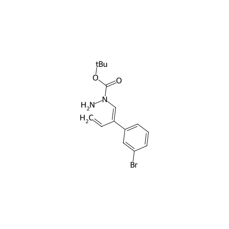 C=C/C(=C\N(N)C(=O)OC(C)(C)C)c1cccc(Br)c1